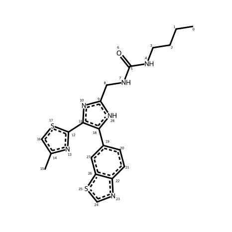 CCCCNC(=O)NCc1nc(-c2nc(C)cs2)c(-c2ccc3ncsc3c2)[nH]1